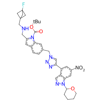 CC(C)(C)OC(=O)n1c(CNCC23CC(F)(C2)C3)cc2ccc(Cn3cc(-c4cc([N+](=O)[O-])cc5c4cnn5C4CCCCO4)nn3)cc21